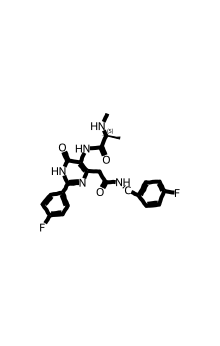 CN[C@@H](C)C(=O)Nc1c(CC(=O)NCc2ccc(F)cc2)nc(-c2ccc(F)cc2)[nH]c1=O